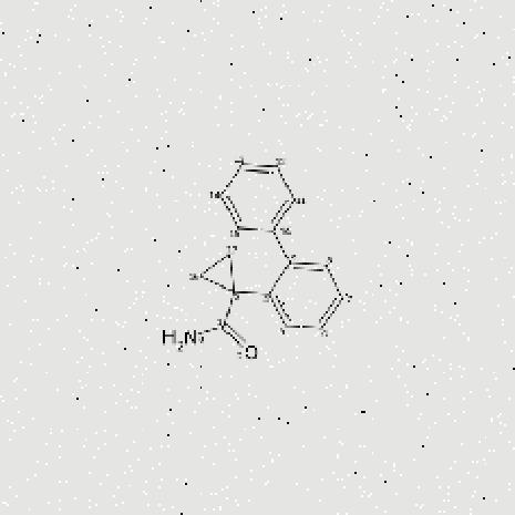 NC(=O)C1(c2ccccc2-c2ccccc2)CC1